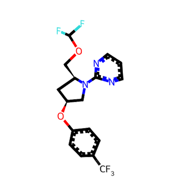 FC(F)OC[C@@H]1C[C@H](Oc2ccc(C(F)(F)F)cc2)CN1c1ncccn1